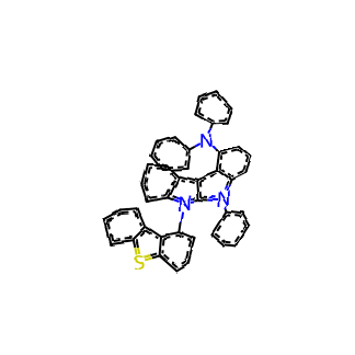 c1ccc(N(c2ccccc2)c2cccc3c2c2c4ccccc4n(-c4cccc5sc6ccccc6c45)c2n3-c2ccccc2)cc1